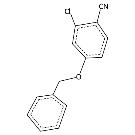 N#Cc1ccc(OCc2ccccc2)cc1Cl